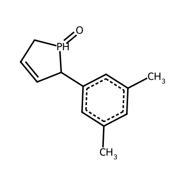 Cc1cc(C)cc(C2C=CC[PH]2=O)c1